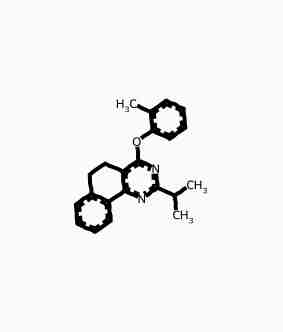 Cc1ccccc1Oc1nc(C(C)C)nc2c1CCc1ccccc1-2